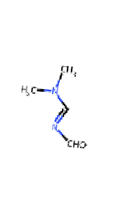 CN(C)C=N[C]=O